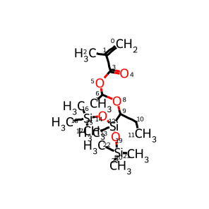 C=C(C)C(=O)OC(C)OC(CC)[Si](C)(O[Si](C)(C)C)O[Si](C)(C)C